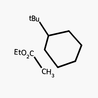 CC(C)(C)C1CCCCC1.CCOC(C)=O